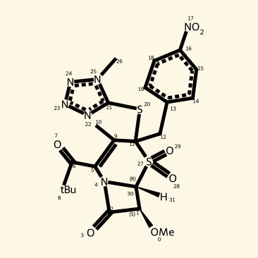 CO[C@H]1C(=O)N2C(C(=O)C(C)(C)C)=C(C)C(Cc3ccc([N+](=O)[O-])cc3)(Sc3nnnn3C)S(=O)(=O)[C@H]12